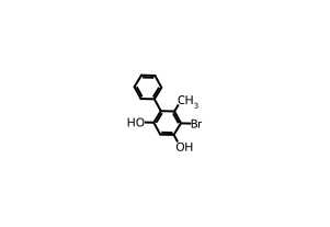 Cc1c(Br)c(O)cc(O)c1-c1ccccc1